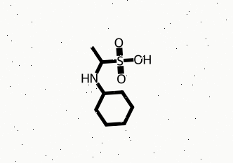 CC(NC1CCCCC1)S(=O)(=O)O